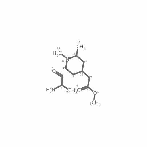 CC(N)[C]=O.COC(=O)CC1CCN(C)C(C)C1